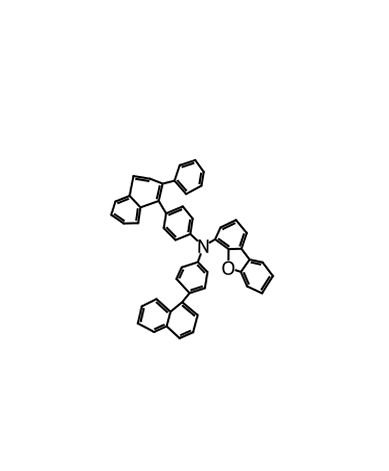 c1ccc(-c2ccc3ccccc3c2-c2ccc(N(c3ccc(-c4cccc5ccccc45)cc3)c3cccc4c3oc3ccccc34)cc2)cc1